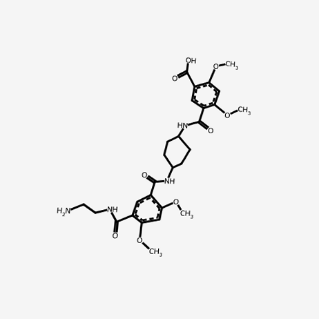 COc1cc(OC)c(C(=O)NC2CCC(NC(=O)c3cc(C(=O)NCCN)c(OC)cc3OC)CC2)cc1C(=O)O